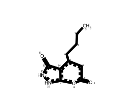 CCCCc1cc(=O)oc2[nH][nH]c(=O)c12